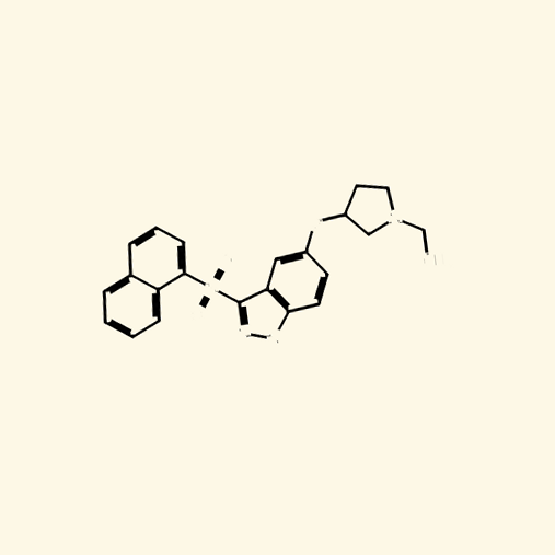 CCN1CCC(Oc2ccc3[nH]nc(S(=O)(=O)c4cccc5ccccc45)c3c2)C1